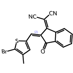 Cc1cc(/C=C2\C(=O)c3ccccc3C2=C(C#N)C#N)sc1Br